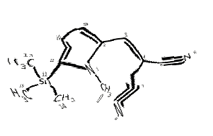 Cn1c(C=C(C#N)C#N)cc[c]1[Sn]([CH3])([CH3])[CH3]